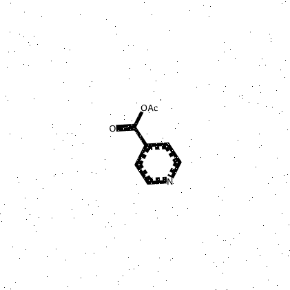 CC(=O)OC(=O)c1ccncc1